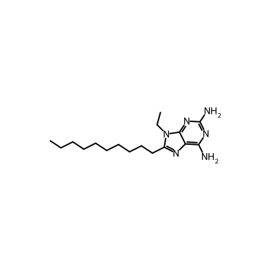 CCCCCCCCCCc1nc2c(N)nc(N)nc2n1CC